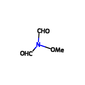 CON(C=O)C=O